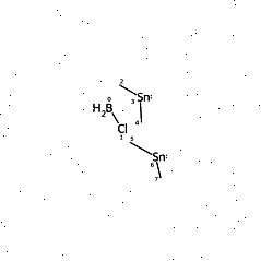 BCl.[CH3][Sn][CH3].[CH3][Sn][CH3]